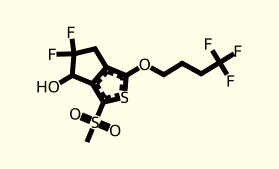 CS(=O)(=O)c1sc(OCCCC(F)(F)F)c2c1C(O)C(F)(F)C2